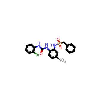 O=C(Nc1ccccc1Br)Nc1ccc([N+](=O)[O-])cc1NS(=O)(=O)Cc1ccccc1